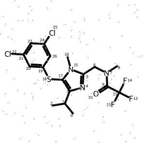 CC(C)c1nc(CN(C)C(=O)C(F)(F)F)n(C)c1Sc1cc(Cl)cc(Cl)c1